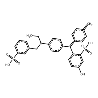 C=c1ccc(=C(c2ccc(N(CC)Cc3cccc(S(=O)(=O)O)c3)cc2)c2ccc(O)cc2S(=O)(=O)O)cc1